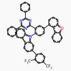 FC(F)(F)c1ccc(-c2ccc3c4ccccc4n(-c4ccc(-c5cccc6oc7ccccc7c56)cc4-c4nc(-c5ccccc5)nc(-c5ccccc5)n4)c3c2)c(C(F)(F)F)c1